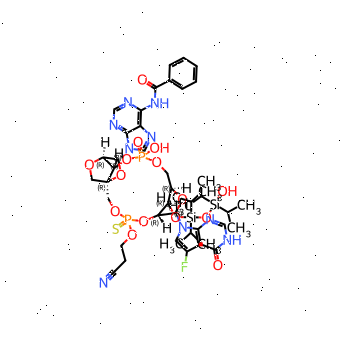 CC(C)[Si](O)(O[Si](O[C@H]1[C@H]2OP(=S)(OCCC#N)OC[C@@]34CO[C@@H]([C@H](n5cnc6c(NC(=O)c7ccccc7)ncnc65)O3)[C@@H]4OP(=O)(O)OC[C@H]1O[C@H]2n1cc(F)c2c(=O)[nH]cnc21)(C(C)C)C(C)C)C(C)C